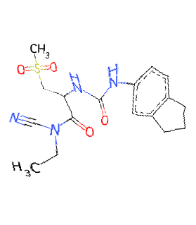 CCN(C#N)C(=O)C(CS(C)(=O)=O)NC(=O)Nc1ccc2c(c1)CCC2